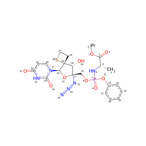 CC(C)OC(=O)[C@H](C)NP(=O)(OC[C@@]1(N=[N+]=[N-])O[C@@H](n2ccc(=O)[nH]c2=O)[C@@]2(CCS2)[C@@H]1O)Oc1ccccc1